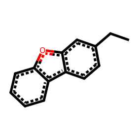 CCc1ccc2c(c1)oc1ccccc12